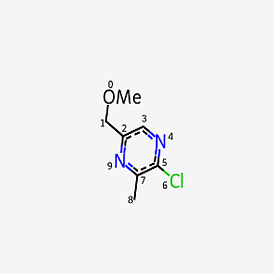 COCc1cnc(Cl)c(C)n1